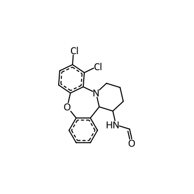 O=CNC1CCCN2c3c(ccc(Cl)c3Cl)Oc3ccccc3C12